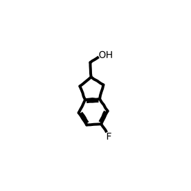 OCC1Cc2ccc(F)cc2C1